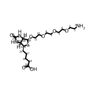 NCCOCCOCCOCCO[C@@H]1S[C@@H](CCCCC(=O)O)[C@H]2NC(=O)N[C@H]21